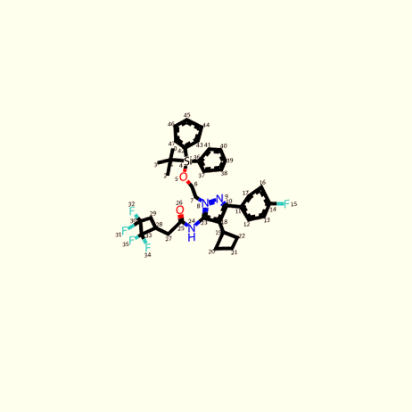 CC(C)(C)[Si](OCCn1nc(-c2ccc(F)cc2)c(C2CCC2)c1NC(=O)CC1CC(F)(F)C1(F)F)(c1ccccc1)c1ccccc1